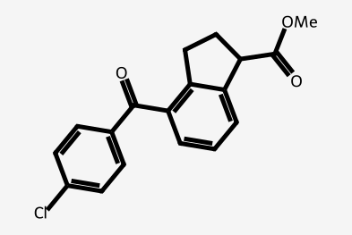 COC(=O)C1CCc2c(C(=O)c3ccc(Cl)cc3)cccc21